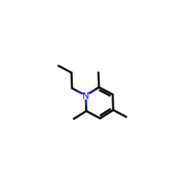 CCCN1C(C)=CC(C)=CC1C